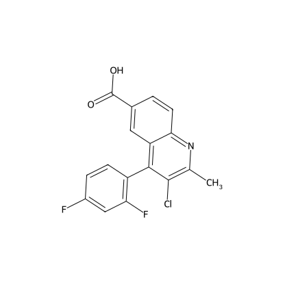 Cc1nc2ccc(C(=O)O)cc2c(-c2ccc(F)cc2F)c1Cl